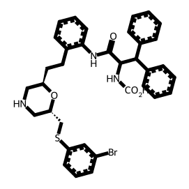 O=C(O)NC(C(=O)Nc1ccccc1CC[C@@H]1CNC[C@@H](CSc2cccc(Br)c2)O1)C(c1ccccc1)c1ccccc1